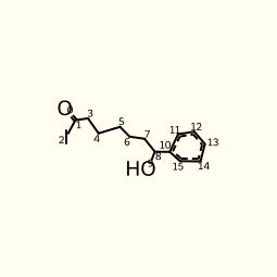 O=C(I)CCCCCC(O)c1ccccc1